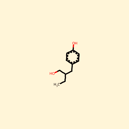 CCC(CO)Cc1ccc(O)cc1